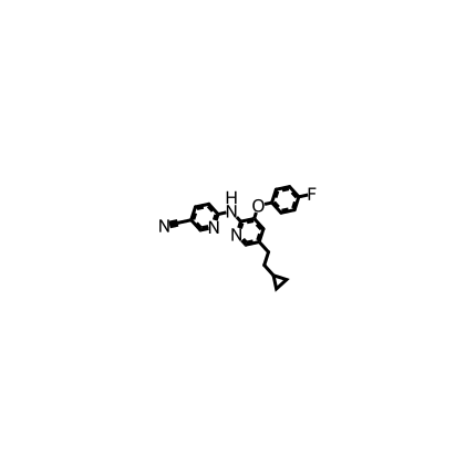 N#Cc1ccc(Nc2ncc(CCC3CC3)cc2Oc2ccc(F)cc2)nc1